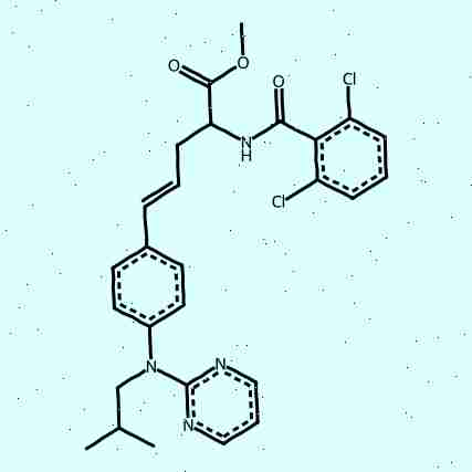 COC(=O)C(CC=Cc1ccc(N(CC(C)C)c2ncccn2)cc1)NC(=O)c1c(Cl)cccc1Cl